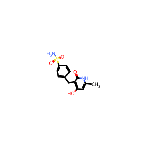 Cc1cc(O)c(Cc2ccc(S(N)(=O)=O)cc2)c(=O)[nH]1